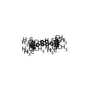 CCC1=C(C)C2=C(c3ccc(-c4ccc5c6ccc(-c7ccc(C8=C9C(C)=C(CC)C(C)=[N+]9[B-](F)(F)n9c(C)c(CC)c(C)c98)cc7)c7cccc(c8cccc4c85)c76)cc3)c3c(C)c(CC)c(C)n3[B-](F)(F)[N+]2=C1C